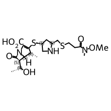 CON(C)C(=O)CCSC[C@@H]1C[C@H](SC2=C(C(=O)O)N3C(=O)[C@H]([C@@H](C)O)[C@H]3[C@H]2C)CN1